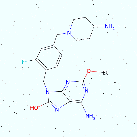 CCOc1nc(N)c2nc(O)n(Cc3ccc(CN4CCC(N)CC4)cc3F)c2n1